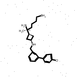 BCCCC[C@](C)(N)[C@H]1C[C@@H](NCc2cccc(-c3ccc(Cl)cc3)c2)C1